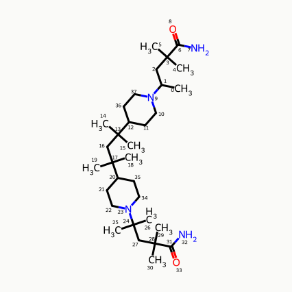 CC(CC(C)(C)C(N)=O)N1CCC(C(C)(C)CC(C)(C)C2CCN(C(C)(C)CC(C)(C)C(N)=O)CC2)CC1